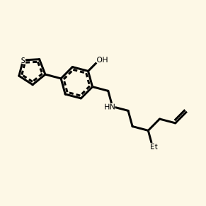 C=CCC(CC)CCNCc1ccc(-c2ccsc2)cc1O